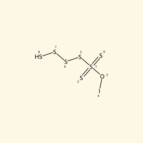 S=S(=S)(OI)SSSS